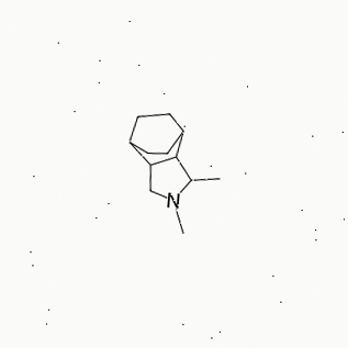 CC1C2C3CCC(CC3)C2CN1C